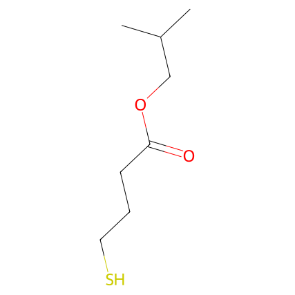 CC(C)COC(=O)CCCS